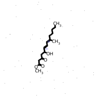 CCCCC/C(C)=C/C=C/C(O)CC(=O)CC(=O)OC